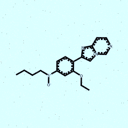 CCCC[S+]([O-])c1ccc(-c2cn3cnccc3n2)c(OCC)c1